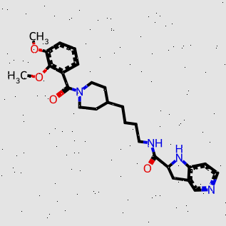 COc1cccc(C(=O)N2CCC(CCCCNC(=O)C3Cc4cnccc4N3)CC2)c1OC